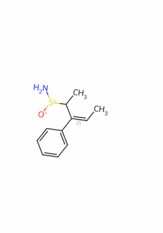 C/C=C(/c1ccccc1)C(C)[S+](N)[O-]